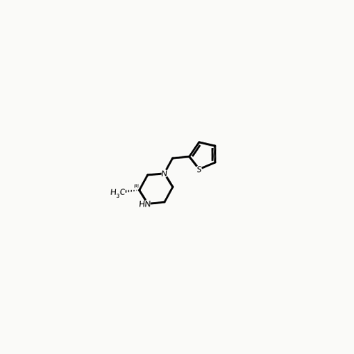 C[C@@H]1CN(Cc2cccs2)CCN1